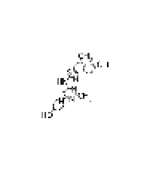 C/C(=C/c1cnc(Nc2cc(N3CCC(O)CC3)nc(C)n2)s1)c1cccc(O)c1